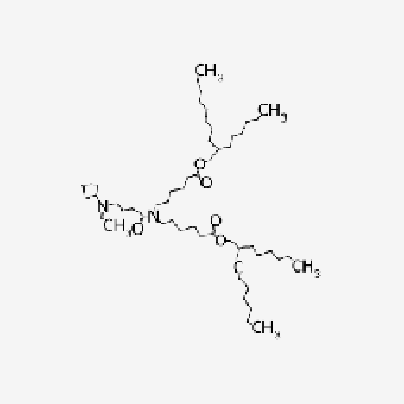 CCCCCCCCC(CCCCCC)COC(=O)CCCCCN(CCCCCC(=O)OCC(CCCCCC)CCCCCCCC)C(=O)CCCN(CC)C1CCC1